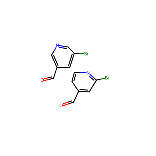 O=Cc1ccnc(Br)c1.O=Cc1cncc(Br)c1